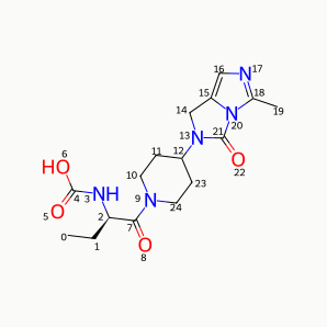 CC[C@@H](NC(=O)O)C(=O)N1CCC(N2Cc3cnc(C)n3C2=O)CC1